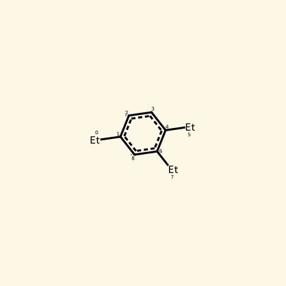 CCc1[c]cc(CC)c(CC)[c]1